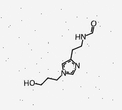 O=CNCCc1cn(CCCO)cn1